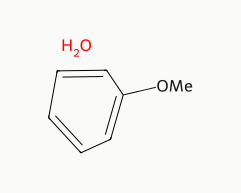 COc1ccccc1.O